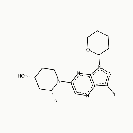 C[C@@H]1C[C@H](O)CCN1c1cnc2c(I)nn(C3CCCCO3)c2n1